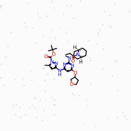 CCC(=O)N1[C@@H]2CCC[C@H]1C[C@H](N(C)c1nc(Nc3cc(C)n(C(=O)OC(C)(C)C)n3)cc(OC3CCOC3)n1)C2